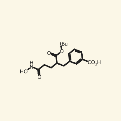 CC(C)(C)OC(=O)C(CCC(=O)NO)Cc1cccc(C(=O)O)c1